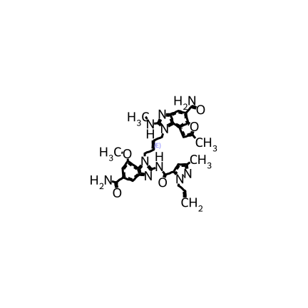 C=CCn1nc(C)cc1C(=O)Nc1nc2cc(C(N)=O)cc(OC)c2n1C/C=C/Cn1c(NC)nc2cc(C(N)=O)c3oc(C)cc3c21